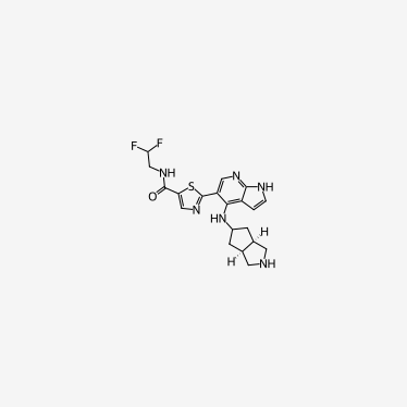 O=C(NCC(F)F)c1cnc(-c2cnc3[nH]ccc3c2NC2C[C@H]3CNC[C@H]3C2)s1